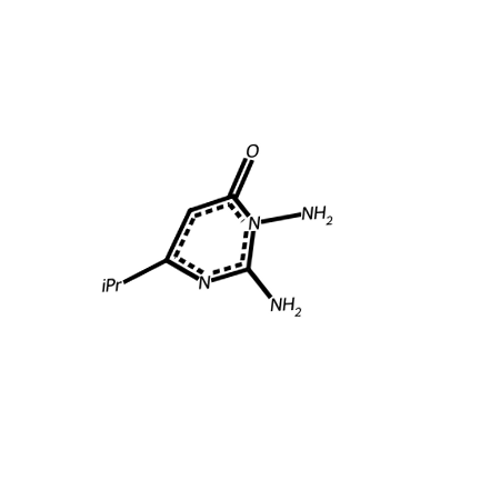 CC(C)c1cc(=O)n(N)c(N)n1